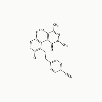 Cc1nn(C)c(=O)c(-c2c(F)ccc(Cl)c2CCc2ccc(C#N)cc2)c1O